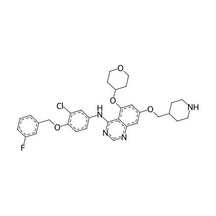 Fc1cccc(COc2ccc(Nc3ncnc4cc(OCC5CCNCC5)cc(OC5CCOCC5)c34)cc2Cl)c1